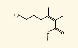 COC(=O)C(C)=C(C)CCCN